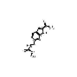 CC(C)(C)OC(=O)NCc1ccc2cc(C(N)=O)[nH]c2c1